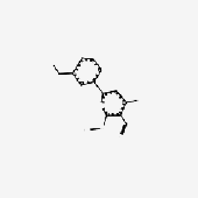 CC(C)Nc1nc(-c2cccc(CO)c2)cc(C(=O)O)c1C=N